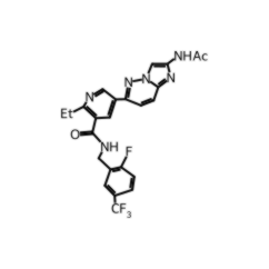 CCc1ncc(-c2ccc3nc(NC(C)=O)cn3n2)cc1C(=O)NCc1cc(C(F)(F)F)ccc1F